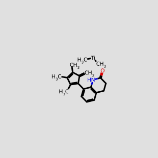 C=C1C(C)=C(C)C(C)=C1c1cccc2c1NC(=O)CC2.[CH3][Ti][CH3]